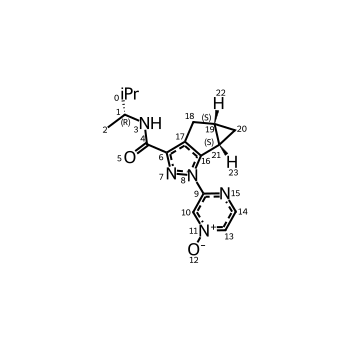 CC(C)[C@@H](C)NC(=O)c1nn(-c2c[n+]([O-])ccn2)c2c1C[C@@H]1C[C@H]21